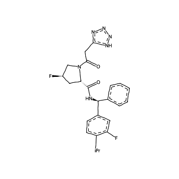 CC(C)c1ccc([C@@H](NC(=O)[C@@H]2C[C@@H](F)CN2C(=O)Cc2nnn[nH]2)c2ccccc2)cc1F